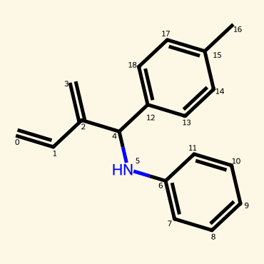 C=CC(=C)C(Nc1ccccc1)c1ccc(C)cc1